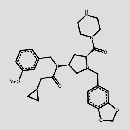 COc1cccc(CN(C(=O)CC2CC2)[C@H]2C[C@@H](C(=O)N3CCNCC3)N(Cc3ccc4c(c3)OCO4)C2)c1